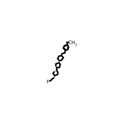 CCc1ccc(CCC2CCC([C@H]3CC[C@H]([C@H]4CC[C@H](CCCF)CC4)CC3)CC2)cc1